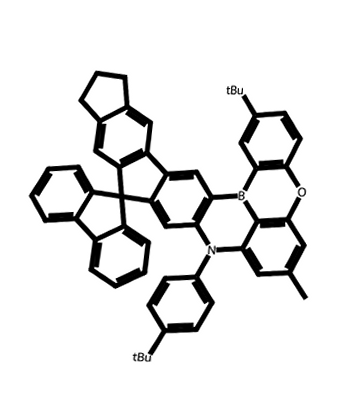 Cc1cc2c3c(c1)N(c1ccc(C(C)(C)C)cc1)c1cc4c(cc1B3c1cc(C(C)(C)C)ccc1O2)-c1cc2c(cc1C41c3ccccc3-c3ccccc31)CCC2